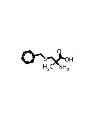 C[C@@](N)(CSCc1ccccc1)C(=O)O